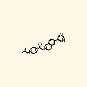 CC(C)CN1CCN(C(=O)CN2CCc3cc(-c4cncnc4)ccc3C2)CC1